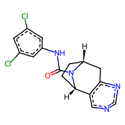 O=C(Nc1cc(Cl)cc(Cl)c1)N1[C@@H]2CC[C@H]1c1cncnc1C2